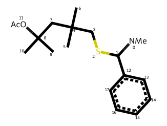 CNC(SCC(C)(C)CC(C)(C)OC(C)=O)c1ccccc1